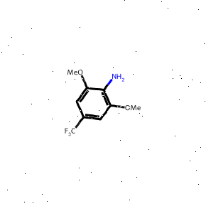 COc1cc(C(F)(F)F)cc(OC)c1N